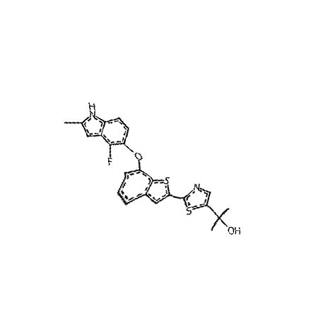 Cc1cc2c(F)c(Oc3cccc4cc(-c5ncc(C(C)(C)O)s5)sc34)ccc2[nH]1